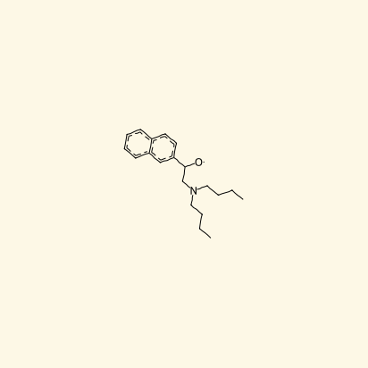 CCCCN(CCCC)CC([O])c1ccc2ccccc2c1